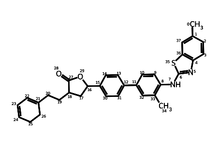 Cc1ccc2nc(Nc3ccc(-c4ccc(C5CC(CCC6=CC=CCC6)C(=O)O5)cc4)cc3C)sc2c1